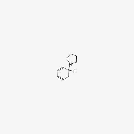 FC1(N2CCCC2)C=CC=CC1